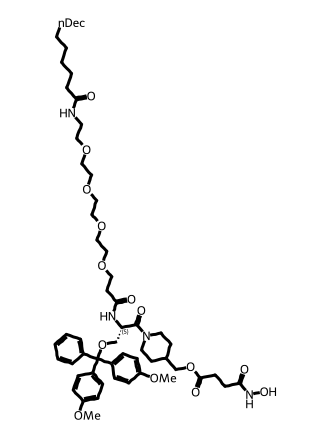 CCCCCCCCCCCCCCCC(=O)NCCOCCOCCOCCOCCC(=O)N[C@@H](COC(c1ccccc1)(c1ccc(OC)cc1)c1ccc(OC)cc1)C(=O)N1CCC(COC(=O)CCC(=O)NO)CC1